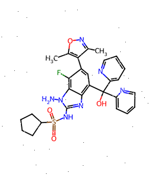 Cc1noc(C)c1-c1cc(C(O)(c2ccccn2)c2ccccn2)c2nc(NS(=O)(=O)C3CCCC3)n(N)c2c1F